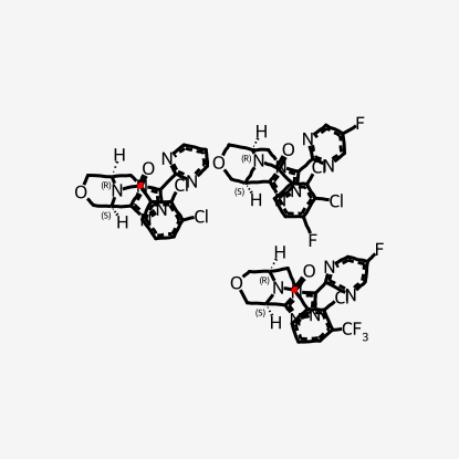 O=C(c1ccc(F)c(Cl)c1Cl)N1[C@H]2COC[C@@H]1c1nnc(-c3ncc(F)cn3)n1C2.O=C(c1cccc(C(F)(F)F)c1Cl)N1[C@H]2COC[C@@H]1c1nnc(-c3ncc(F)cn3)n1C2.O=C(c1cccc(Cl)c1Cl)N1[C@H]2COC[C@@H]1c1nnc(-c3ncccn3)n1C2